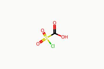 O=C(O)S(=O)(=O)Cl